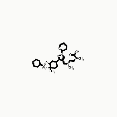 CN(CCN(C)C(=O)O)Cc1cn(C2CCCCO2)nc1C1CCC(C)(C)[C@H](OOC2CCCCC2)C1